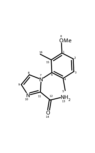 COc1ccc(C)c(-n2ccnc2C(N)=O)c1C